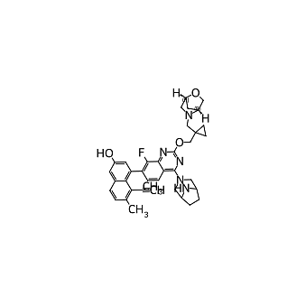 C#Cc1c(C)ccc2cc(O)cc(-c3c(C)cc4c(N5CC6CCC(C5)N6)nc(OCC5(CN6C[C@H]7C[C@@H]6CO7)CC5)nc4c3F)c12